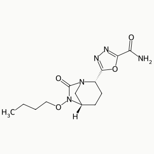 CCCCON1C(=O)N2C[C@@H]1CC[C@H]2c1nnc(C(N)=O)o1